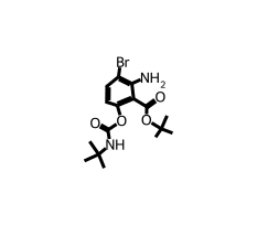 CC(C)(C)NC(=O)Oc1ccc(Br)c(N)c1C(=O)OC(C)(C)C